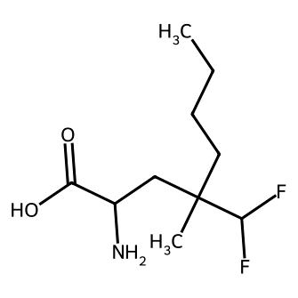 CCCCC(C)(CC(N)C(=O)O)C(F)F